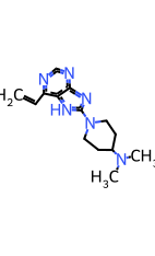 C=Cc1ncnc2nc(N3CCC(N(C)C)CC3)[nH]c12